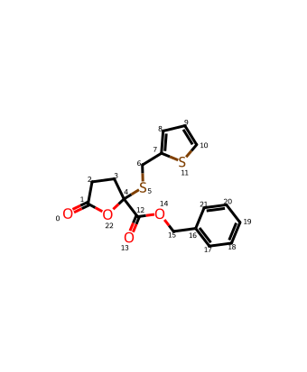 O=C1CCC(SCc2cccs2)(C(=O)OCc2ccccc2)O1